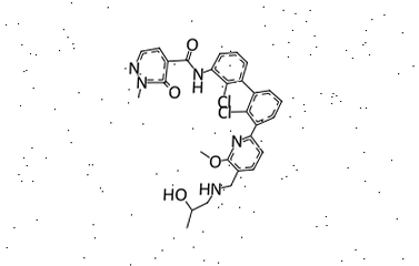 COc1nc(-c2cccc(-c3cccc(NC(=O)c4ccnn(C)c4=O)c3Cl)c2Cl)ccc1CNCC(C)O